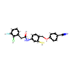 N#Cc1ccc(OCc2ccc(NC(=O)Cc3cccc(F)c3Cl)cc2S)cc1